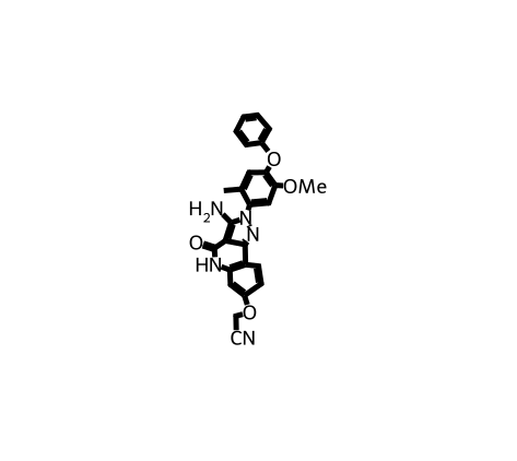 COc1cc(-n2nc3c(c2N)c(=O)[nH]c2cc(OCC#N)ccc23)c(C)cc1Oc1ccccc1